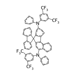 FC(F)(F)c1cc(N(c2ccccc2)c2ccc3c(c2)C2(c4ccccc4-c4ccccc42)c2cc(N(c4ccccc4)c4cc(C(F)(F)F)cc(C(F)(F)F)c4)c4ccccc4c2-3)cc(C(F)(F)F)c1